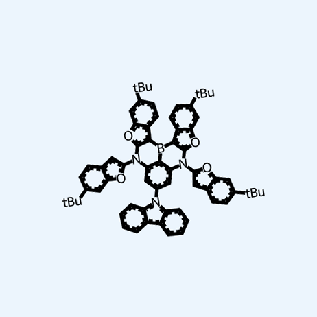 CC(C)(C)c1ccc2cc(N3c4cc(-n5c6ccccc6c6ccccc65)cc5c4B(c4c3oc3cc(C(C)(C)C)ccc43)c3c(oc4cc(C(C)(C)C)ccc34)N5c3cc4ccc(C(C)(C)C)cc4o3)oc2c1